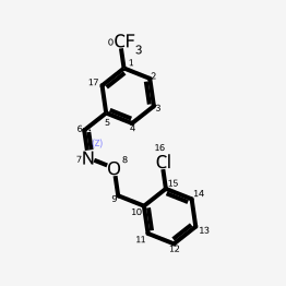 FC(F)(F)c1cccc(/[C]=N\OCc2ccccc2Cl)c1